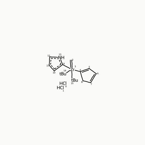 Cl.Cl.[CH2]=[Zr]([C]1=CC=CC1)([c]1ccc[nH]1)([C](C)(C)C)[C](C)(C)C